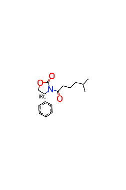 CC(C)CCCC(=O)N1C(=O)OC[C@H]1c1ccccc1